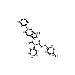 O=C(c1c[nH]c2cc(-c3cccnc3)ccc12)[C@@H](NCCc1ccc(Cl)cc1)c1ccccc1